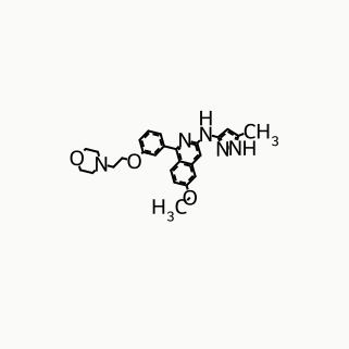 COc1ccc2c(-c3cccc(OCCN4CCOCC4)c3)nc(Nc3cc(C)[nH]n3)cc2c1